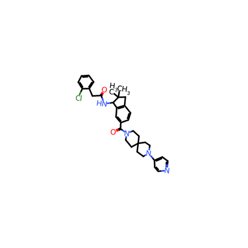 CC1(C)Cc2ccc(C(=O)N3CCC4(CC3)CCN(c3ccncc3)CC4)cc2C1NC(=O)Cc1ccccc1Cl